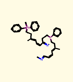 C/N=C/C=C\C=C(/C)CCP(CCC(/C=C\C=C(/C)CC[PH](C)(c1ccccc1)c1ccccc1)=N\C)c1ccccc1